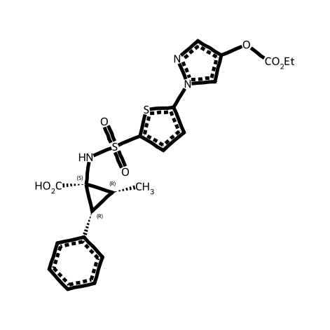 CCOC(=O)Oc1cnn(-c2ccc(S(=O)(=O)N[C@@]3(C(=O)O)[C@H](C)[C@@H]3c3ccccc3)s2)c1